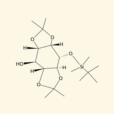 CC1(C)O[C@@H]2[C@@H](O[Si](C)(C)C(C)(C)C)[C@H]3OC(C)(C)O[C@H]3[C@H](O)[C@H]2O1